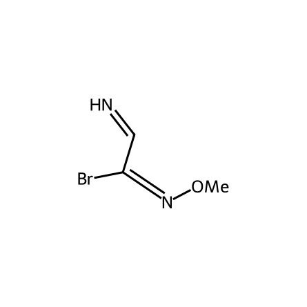 CO/N=C(/Br)C=N